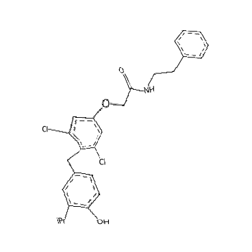 CC(C)c1cc(Cc2c(Cl)cc(OCC(=O)NCCc3ccccc3)cc2Cl)ccc1O